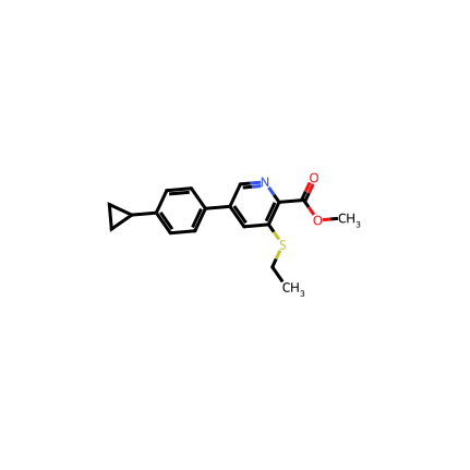 CCSc1cc(-c2ccc(C3CC3)cc2)cnc1C(=O)OC